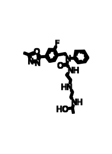 Cc1nnc(-c2ccc(CN(C(=O)NCCNCCNC(C)O)c3ccccc3)c(F)c2)o1